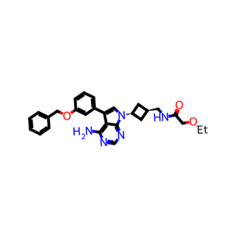 CCOCC(=O)NC[C@H]1C[C@H](n2cc(-c3cccc(OCc4ccccc4)c3)c3c(N)ncnc32)C1